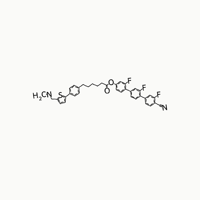 C=NCc1ccc(-c2ccc(CCCCCC(=O)Oc3ccc(-c4ccc(-c5ccc(C#N)c(F)c5)c(F)c4)c(F)c3)cc2)s1